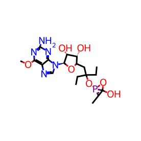 CCC(CC)(CC1O[C@@H](n2cnc3c(OC)nc(N)nc32)[C@H](O)[C@@H]1O)OP12=C(C)C1(O)O2